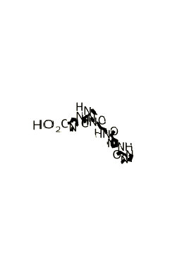 Cn1cc(NC(=O)c2nccn2NC(=O)CCNC(=O)c2cc(NC(=O)c3nccn3C)cn2C)cc1C(=O)O